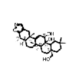 C[C@@H]1c2oncc2C[C@]2(C)C3=C[C@@H](O)[C@]4(O)C5CC(C)(C)CC[C@]5(CO)CC[C@@]4(C)[C@]3(C)CC[C@@H]12